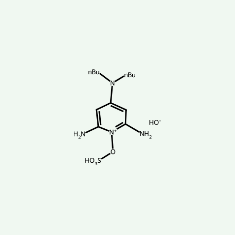 CCCCN(CCCC)c1cc(N)[n+](OS(=O)(=O)O)c(N)c1.[OH-]